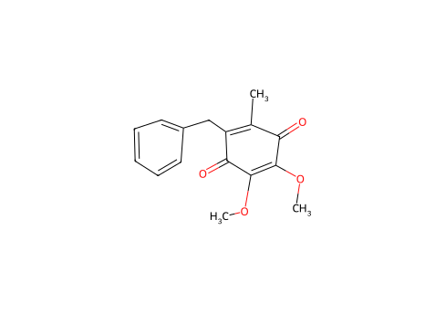 COC1=C(OC)C(=O)C(Cc2ccccc2)=C(C)C1=O